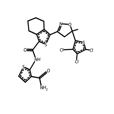 CC1(c2sc(Cl)c(Cl)c2Cl)CC(c2sc(C(=O)Nc3sccc3C(N)=O)c3c2CCCC3)=NO1